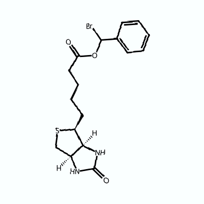 O=C1N[C@H]2[C@H](CS[C@H]2CCCCC(=O)OC(Br)c2ccccc2)N1